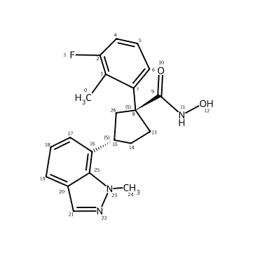 Cc1c(F)cccc1[C@]1(C(=O)NO)CC[C@H](c2cccc3cnn(C)c23)C1